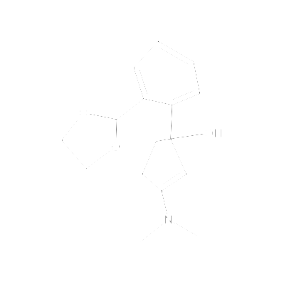 CN(C)C1=CC(O)(c2ccccc2C2OCCO2)CC1